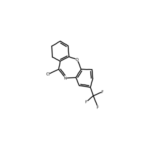 FC(F)(F)c1ccc2c(c1)N=C(Cl)C1=C(C=CCC1)O2